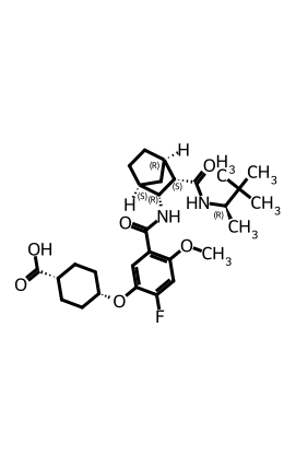 COc1cc(F)c(O[C@H]2CC[C@@H](C(=O)O)CC2)cc1C(=O)N[C@@H]1[C@H]2CC[C@H](C2)[C@@H]1C(=O)N[C@H](C)C(C)(C)C